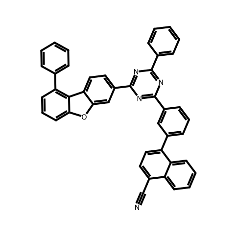 N#Cc1ccc(-c2cccc(-c3nc(-c4ccccc4)nc(-c4ccc5c(c4)oc4cccc(-c6ccccc6)c45)n3)c2)c2ccccc12